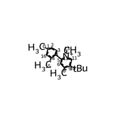 Cc1ccc(-c2cc(C)c(C(C)(C)C)c[n+]2C)c(C)c1